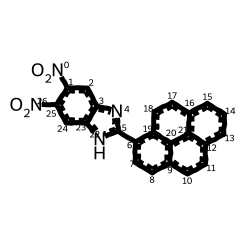 O=[N+]([O-])c1cc2nc(-c3ccc4ccc5cccc6ccc3c4c56)[nH]c2cc1[N+](=O)[O-]